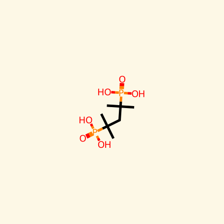 CC(C)(CC(C)(C)P(=O)(O)O)P(=O)(O)O